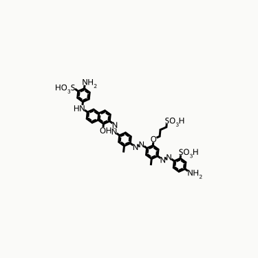 Cc1cc(N=Nc2ccc3cc(Nc4ccc(N)c(S(=O)(=O)O)c4)ccc3c2O)ccc1N=Nc1cc(C)c(N=Nc2ccc(N)cc2S(=O)(=O)O)cc1OCCCS(=O)(=O)O